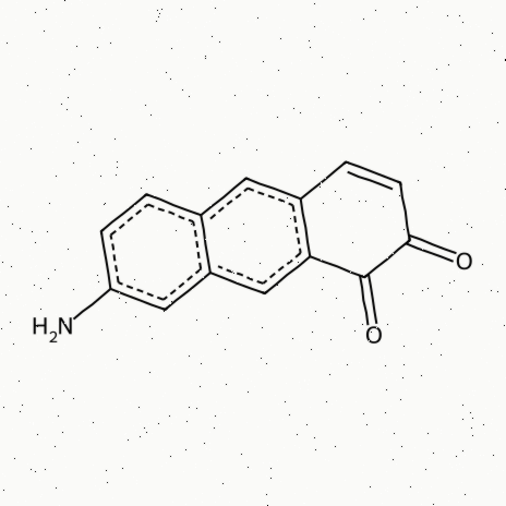 Nc1ccc2cc3c(cc2c1)C(=O)C(=O)C=C3